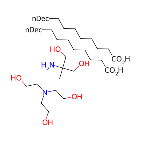 CC(N)(CO)CO.CCCCCCCCCCCCCCCCCC(=O)O.CCCCCCCCCCCCCCCCCC(=O)O.OCCN(CCO)CCO